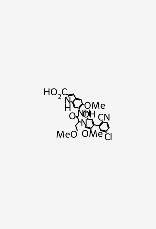 COCCC(C(=O)Nc1cc2[nH]c(C(=O)O)cc2cc1OC)N1C=C(OC)C(c2cc(Cl)ccc2C#N)=CC1O